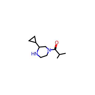 CC(C)C(=O)N1CCNC(C2CC2)C1